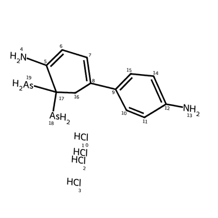 Cl.Cl.Cl.Cl.NC1=CC=C(c2ccc(N)cc2)CC1([AsH2])[AsH2]